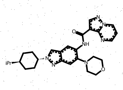 CC(C)[C@H]1CC[C@H](n2cc3cc(NC(=O)c4cnn5cccnc45)c(N4CCOCC4)cc3n2)CC1